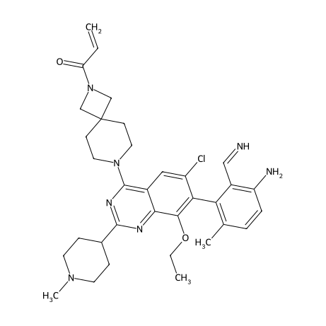 C=CC(=O)N1CC2(CCN(c3nc(C4CCN(C)CC4)nc4c(OCC)c(-c5c(C)ccc(N)c5C=N)c(Cl)cc34)CC2)C1